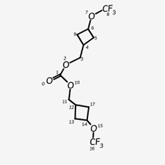 O=C(OCC1CC(OC(F)(F)F)C1)OCC1CC(OC(F)(F)F)C1